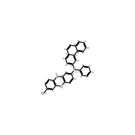 Clc1ccc2c(c1)Oc1ccc(N(c3ccccc3)c3ccc4ccc5ccccc5c4c3)cc1S2